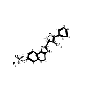 O=S(=O)(Oc1ccc2c(c1)CCc1nc(-c3noc(-c4ccccc4)c3C(F)(F)F)oc1-2)C(F)(F)F